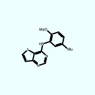 COc1ccc(C(C)(C)C)cc1Nc1ncnc2ccsc12